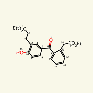 CCOC(=O)CCc1cc(C(=O)c2ccccc2CC(=O)OCC)ccc1O